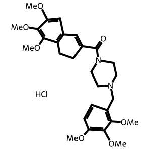 COc1ccc(CN2CCN(C(=O)C3=Cc4cc(OC)c(OC)c(OC)c4CC3)CC2)c(OC)c1OC.Cl